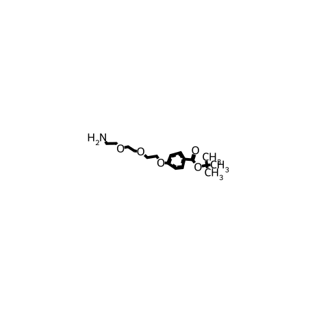 CC(C)(C)OC(=O)c1ccc(OCCOCCOCCN)cc1